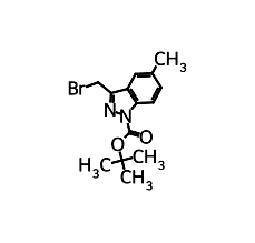 Cc1ccc2c(c1)c(CBr)nn2C(=O)OC(C)(C)C